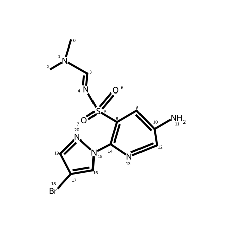 CN(C)C=NS(=O)(=O)c1cc(N)cnc1-n1cc(Br)cn1